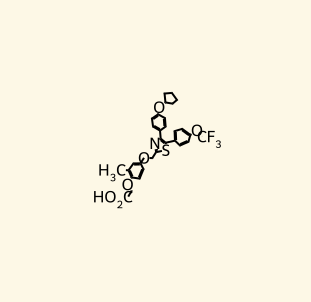 Cc1cc(OCc2nc(-c3ccc(OC4CCCC4)cc3)c(-c3ccc(OC(F)(F)F)cc3)s2)ccc1OCC(=O)O